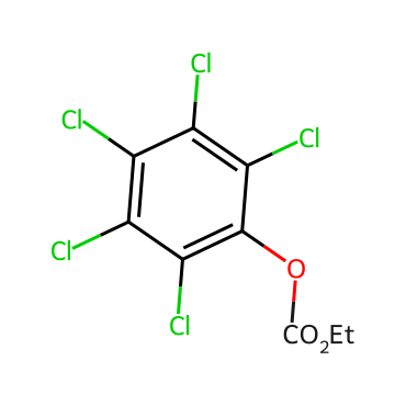 CCOC(=O)Oc1c(Cl)c(Cl)c(Cl)c(Cl)c1Cl